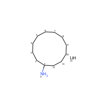 NC1CCCCCCCCCCC1.[LiH]